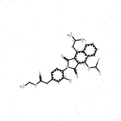 CCOC(=O)Cc1ccc(N2C(=O)c3c(c(OC(F)F)c4ccccc4c3CC(C)C)C2=O)c(Cl)c1